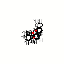 [2H]c1c([2H])c(C2([2H])C([2H])([2H])CNC([2H])([2H])[C@]2([2H])C([2H])([2H])Oc2ccc3c(c2)OC([2H])([2H])O3)c([2H])c([2H])c1F